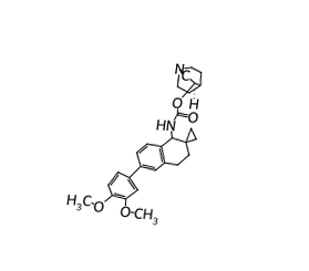 COc1ccc(-c2ccc3c(c2)CCC2(CC2)C3NC(=O)O[C@H]2CN3CCC2CC3)cc1OC